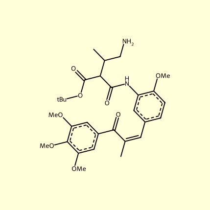 COc1ccc(C=C(C)C(=O)c2cc(OC)c(OC)c(OC)c2)cc1NC(=O)C(C(=O)OC(C)(C)C)C(C)CN